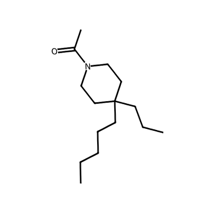 CCCCCC1(CCC)CCN(C(C)=O)CC1